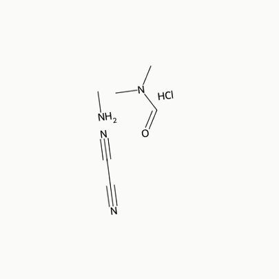 CN.CN(C)C=O.Cl.N#CC#N